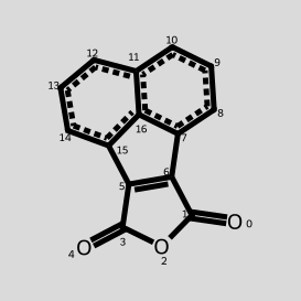 O=C1OC(=O)C2=C1c1cccc3cccc2c13